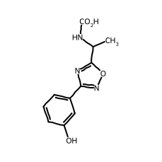 CC(NC(=O)O)c1nc(-c2cccc(O)c2)no1